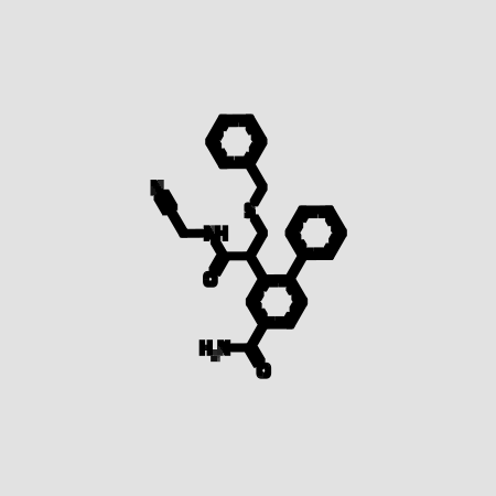 N#CCNC(=O)C(CSCc1ccccc1)c1cc(C(N)=O)ccc1-c1ccccc1